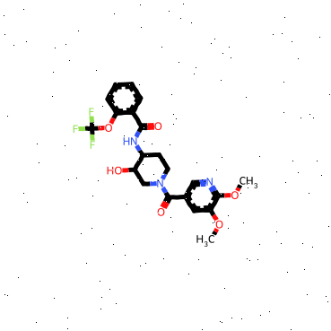 COc1cc(C(=O)N2CCC(NC(=O)c3ccccc3OC(F)(F)F)C(O)C2)cnc1OC